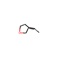 C/C=C1/CCOC1